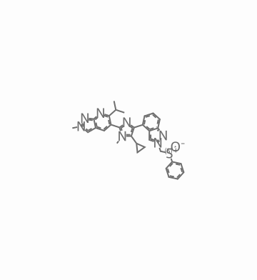 CC(C)c1nc2nn(C)cc2cc1-c1nc(-c2cccc3nn(C[S@+]([O-])c4ccccc4)cc23)c(C2CC2)n1C